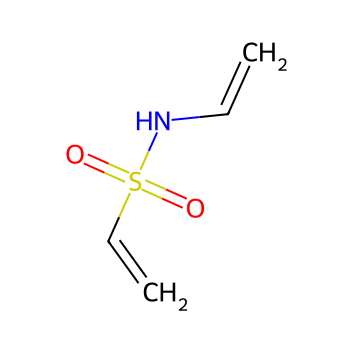 C=CNS(=O)(=O)C=C